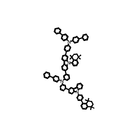 CC1(C)CCC(C)(C)c2c(-c3ccc(-n4c5ccccc5c5cc(-c6cccc(N(c7ccc(-c8ccccc8)cc7)c7cccc(-c8ccc9c%10ccc(-c%11ccc(N(c%12ccc(-c%13ccccc%13)cc%12)c%12ccc(-c%13ccccc%13)cc%12)cc%11)cc%10n(-c%10cccc%11c%10C(C)(C)CCC%11(C)C)c9c8)c7)c6)ccc54)cc3)cccc21